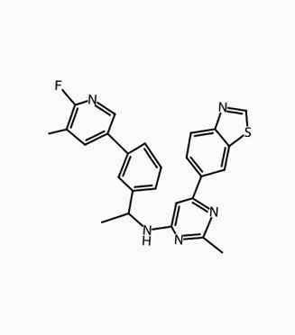 Cc1nc(NC(C)c2cccc(-c3cnc(F)c(C)c3)c2)cc(-c2ccc3ncsc3c2)n1